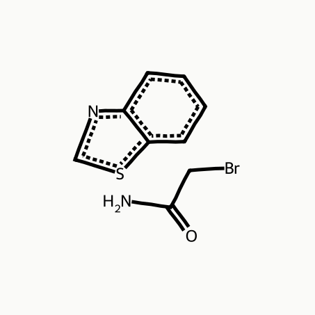 NC(=O)CBr.c1ccc2scnc2c1